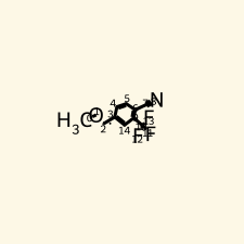 CO[CH]c1ccc(C#N)c(C(F)(F)F)c1